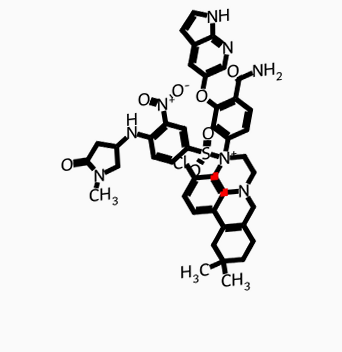 CN1CC(Nc2ccc(S(=O)(=O)[N+]3(c4ccc(C(N)=O)c(Oc5cnc6[nH]ccc6c5)c4)CCN(CC4=C(c5ccc(Cl)cc5)CC(C)(C)CC4)CC3)cc2[N+](=O)[O-])CC1=O